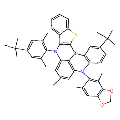 Cc1cc2c3c(c1)N(c1c(C)cc(C(C)(C)C)cc1C)c1c(sc4ccccc14)B3c1cc(C(C)(C)C)ccc1N2c1c(C)cc2c(c1C)OCO2